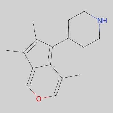 Cc1cocc2c(C)c(C)c(C3CCNCC3)c1-2